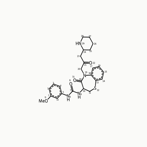 COc1cccc(NC(=O)NC2CSc3ccccc3N(CC(=O)CC3CCCCN3)C2=O)c1